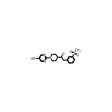 CCCc1cnc(N2CCC(C([O])Cc3cccc(S(C)(=O)=O)c3)CC2)nc1